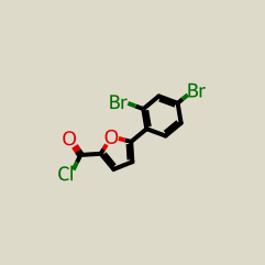 O=C(Cl)c1ccc(-c2ccc(Br)cc2Br)o1